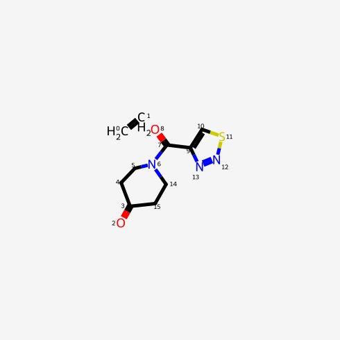 C=C.O=C1CCN(C(=O)c2csnn2)CC1